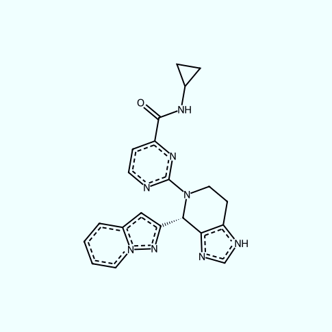 O=C(NC1CC1)c1ccnc(N2CCc3[nH]cnc3[C@@H]2c2cc3ccccn3n2)n1